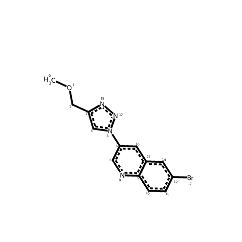 COCc1cn(-c2cnc3ccc(Br)cc3c2)nn1